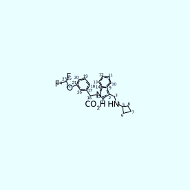 O=C(O)c1c(CNC2CCC2)c2ccccc2n1Cc1cccc(OC(F)F)c1